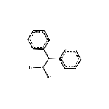 [Br][Zr]([Br])[CH](c1ccccc1)c1ccccc1